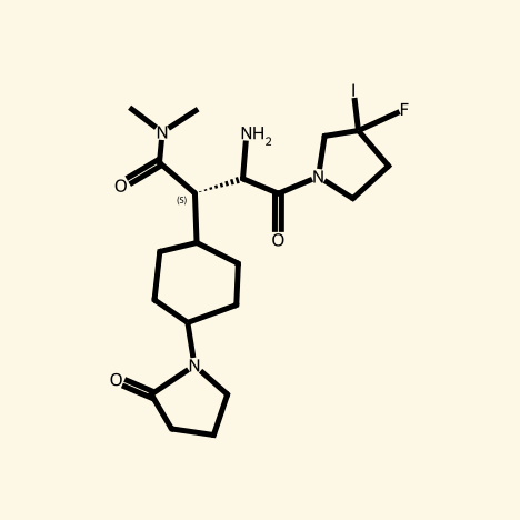 CN(C)C(=O)[C@@H](C1CCC(N2CCCC2=O)CC1)C(N)C(=O)N1CCC(F)(I)C1